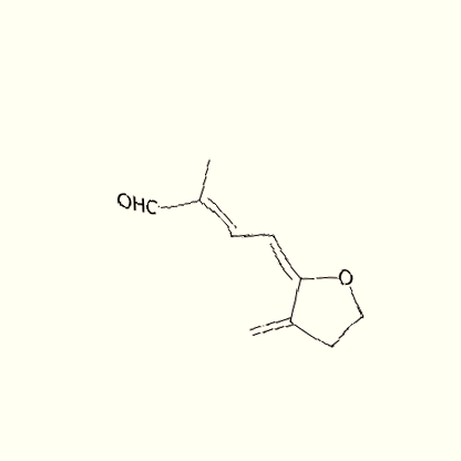 C=C1CCO/C1=C/C=C(\C)C=O